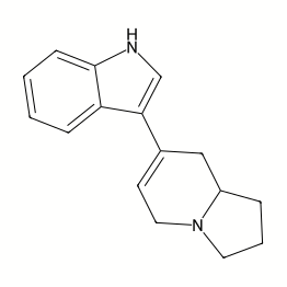 C1=C(c2c[nH]c3ccccc23)CC2CCCN2C1